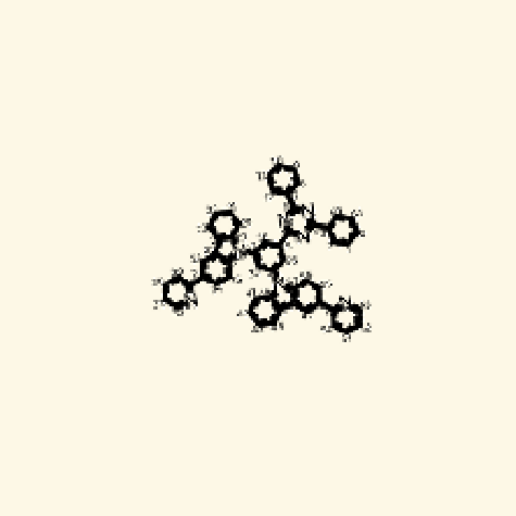 c1ccc(-c2nc(-c3ccccc3)nc(-c3cc(-n4c5ccccc5c5cc(-c6ccccn6)ccc54)cc(-n4c5ccccc5c5cc(-c6ccccn6)ccc54)c3)n2)cc1